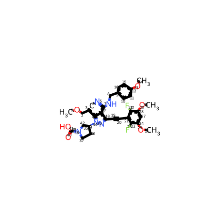 COCc1cnc(NCc2ccc(OC)cc2)c2c(C#Cc3c(F)c(OC)cc(OC)c3F)nn([C@H]3CCN(C(=O)O)C3)c12